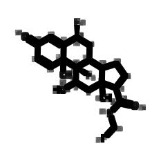 CC12CC(O)[C@@]3(F)C(C[C@H](F)C4=CC(=O)C=CC43C)C1CCC2C(=O)SCF